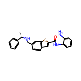 C[C@H](NCc1ccc2cc(C(=O)Nc3ccccc3N)sc2c1)c1ccccc1